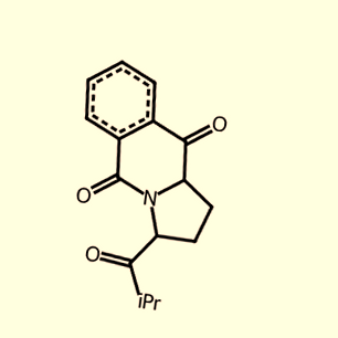 CC(C)C(=O)C1CCC2C(=O)c3ccccc3C(=O)N21